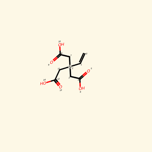 C=C[Si](CC(=O)O)(CC(=O)O)CC(=O)O